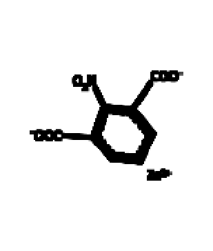 O=C([O-])c1cccc(C(=O)[O-])c1[N+](=O)[O-].[Zn+2]